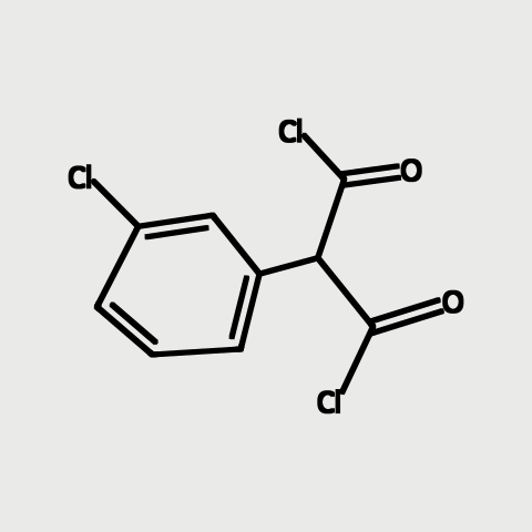 O=C(Cl)C(C(=O)Cl)c1cccc(Cl)c1